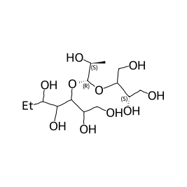 CCC(O)C(O)C(O[C@@H](OC(CO)[C@@H](O)CO)[C@H](C)O)C(O)CO